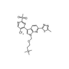 Cc1nnc(-c2ccc3c(-c4nc(S(C)(=O)=O)ncc4C(F)(F)F)cn(COCC[Si](C)(C)C)c3n2)s1